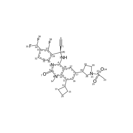 C#C[C@@H](Nc1nc(=O)n(C)c2c(C3CCC3)cc(C3CCN(S(C)(=O)=O)C3)cc12)c1cccc(C(F)F)c1F